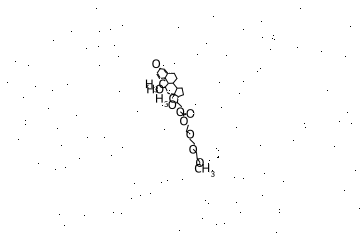 COCCOCCOCCOC(=O)OCC(=O)C1CCC2C3CCC4=CC(=O)C=CC4(C)C3C(O)CC12C